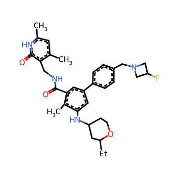 CCC1CC(Nc2cc(-c3ccc(CN4CC(F)C4)cc3)cc(C(=O)NCc3c(C)cc(C)[nH]c3=O)c2C)CCO1